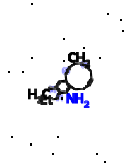 C=C1/C=C\CC#CCCc2c(cc(=C/C)/c(=C\CC)c2N)/C=C\1